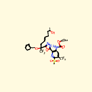 C[C@@H](O)CCCCC[C@@](OCc1ccccc1)(c1nnc(-c2nc(S(C)(=O)=O)c(C(F)(F)F)cc2NC(=O)OC(C)(C)C)o1)C(F)(F)F